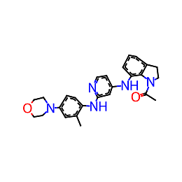 CC(=O)N1CCc2cccc(Nc3ccnc(Nc4ccc(N5CCOCC5)cc4C)c3)c21